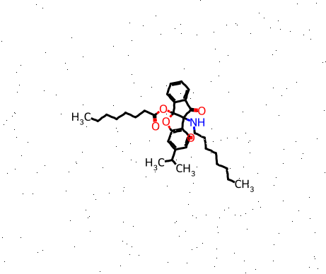 CCCCCCCC(=O)NC12C(=O)c3ccccc3C1(OC(=O)CCCCCCC)Oc1cc(C(C)C)ccc12